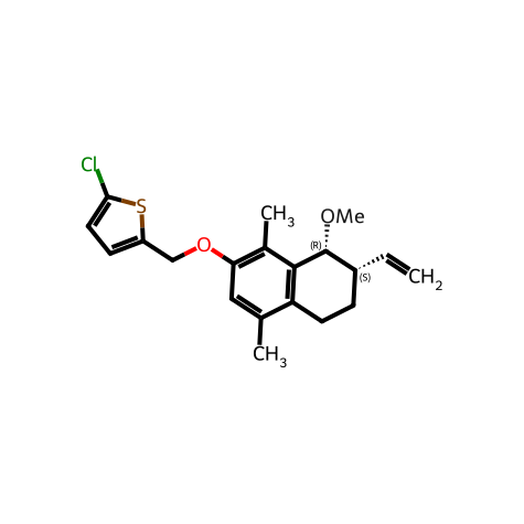 C=C[C@@H]1CCc2c(C)cc(OCc3ccc(Cl)s3)c(C)c2[C@@H]1OC